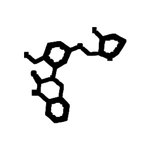 O=C1Nc2ccccc2CN1c1cc(OCc2ncccc2F)ccc1CF